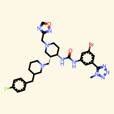 Cn1nnnc1-c1cc(Br)cc(NC(=O)N[C@@H]2CCN(Cc3ncon3)C[C@H]2CN2CCCC(Cc3ccc(F)cc3)C2)c1